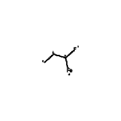 CC[CH](F)[Fe]